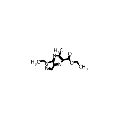 CCOC(=O)c1nc2cnn(CC)c2nc1C